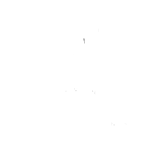 COC(=O)N1CCc2ccc3c(nc([C@H]4CC[C@H](C(=O)O)CC4)n3[C@H](C)Cc3cc(F)cc(F)c3)c2C1